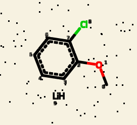 COc1ccccc1Cl.[LiH]